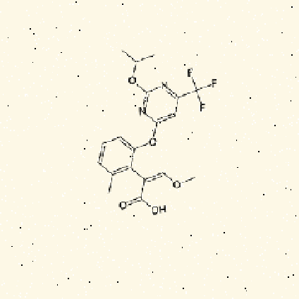 COC=C(C(=O)O)c1c(C)cccc1Oc1cc(C(F)(F)F)nc(OC(C)C)n1